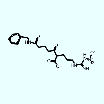 N=C(NCCCC(C(=O)O)C(=O)CCCC(=O)NCc1ccccc1)N[N+](=O)[O-]